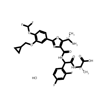 C[C@H](NC(=O)C(NC(=O)c1nc(-c2ccc(OC(F)F)c(OCC3CC3)c2)oc1[C@H](C)N)c1ccc(F)cc1F)C(=O)O.Cl